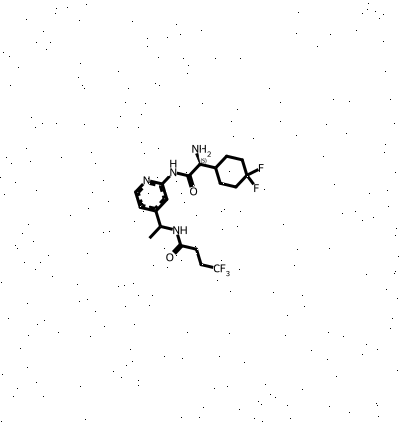 CC(NC(=O)CCC(F)(F)F)c1ccnc(NC(=O)[C@@H](N)C2CCC(F)(F)CC2)c1